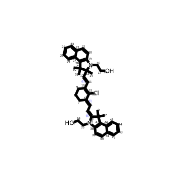 CC1(C)/C(=C\C=C2/CCCC(/C=C/C3(C)N(CCO)c4ccc5ccccc5c4C3(C)C)=C2Cl)N(CCO)c2ccc3ccccc3c21